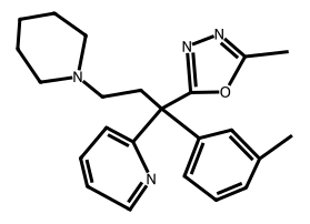 Cc1cccc(C(CCN2CCCCC2)(c2ccccn2)c2nnc(C)o2)c1